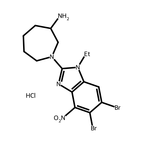 CCn1c(N2CCCCC(N)C2)nc2c([N+](=O)[O-])c(Br)c(Br)cc21.Cl